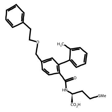 CSCC[C@H](NC(=O)c1ccc(COCCc2ccccc2)cc1-c1ccccc1C)C(=O)O